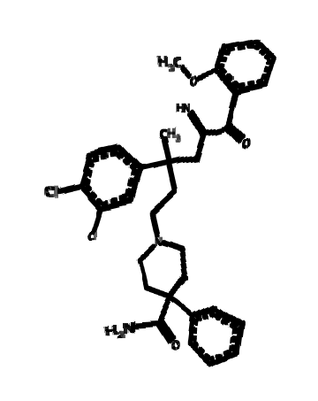 COc1ccccc1C(=O)C(=N)CC(C)(CCN1CCC(C(N)=O)(c2ccccc2)CC1)c1ccc(Cl)c(Cl)c1